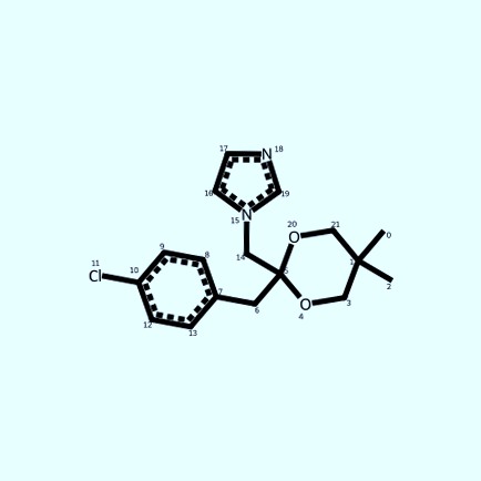 CC1(C)COC(Cc2ccc(Cl)cc2)(Cn2ccnc2)OC1